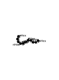 CCCCCCc1ccc(-c2ccc(-c3ccc(-c4sc(-c5sc(-c6cnc(-c7csc(-c8cc(CCCCCC)c(-c9ccc(-c%10ccc(-c%11ccc(CCCCCC)s%11)s%10)s9)s8)c7CCCCCC)cn6)cc5CCCCCC)cc4CCCCCC)s3)s2)s1